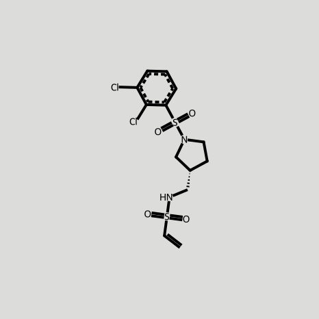 C=CS(=O)(=O)NC[C@H]1CCN(S(=O)(=O)c2cccc(Cl)c2Cl)C1